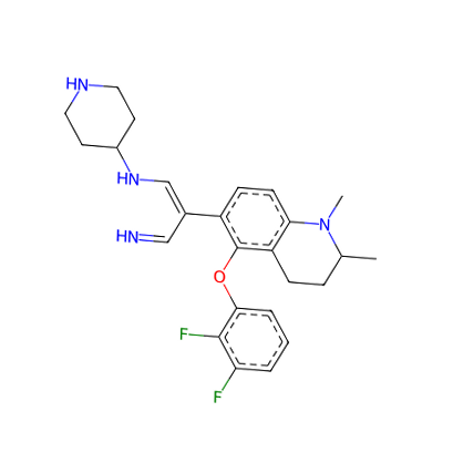 CC1CCc2c(ccc(/C(C=N)=C/NC3CCNCC3)c2Oc2cccc(F)c2F)N1C